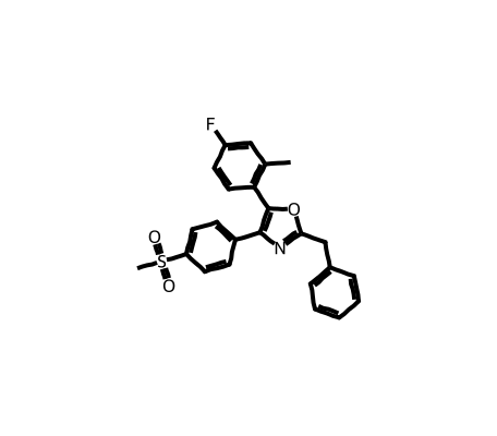 Cc1cc(F)ccc1-c1oc(Cc2ccccc2)nc1-c1ccc(S(C)(=O)=O)cc1